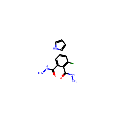 NNC(=O)c1cccc(F)c1C(=O)NN.c1cc[nH]c1